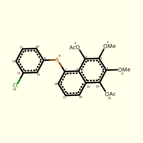 COc1c(OC)c(OC(C)=O)c2c(Sc3cccc(Cl)c3)cccc2c1OC(C)=O